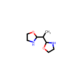 C[C](C1NCCO1)C1NCCO1